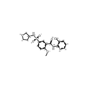 COc1ccc(S(=O)(=O)N[C@H]2CCOC2)cc1C(=O)Nc1ncccc1Cl